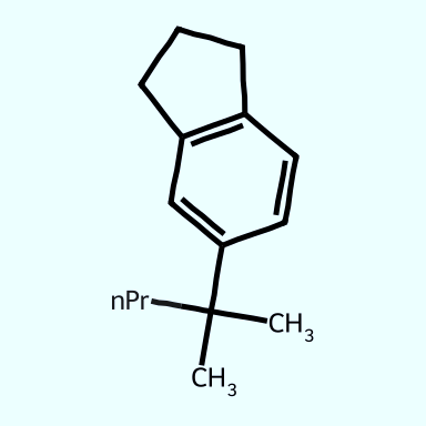 CCCC(C)(C)c1ccc2c(c1)CCC2